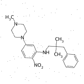 CN1CCN(c2ccc([N+](=O)[O-])c(NCC(C)(C)Cc3ccccc3)c2)CC1